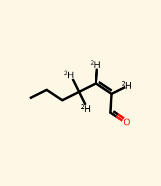 [2H]C(C=O)=C([2H])C([2H])([2H])CCC